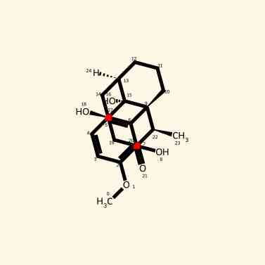 COc1ccc2c(c1O)[C@]13CCC[C@H](C2)[C@]1(O)[C@H](O)CC(=O)[C@@H]3C